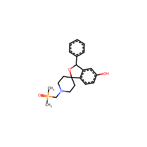 CP(C)(=O)CN1CCC2(CC1)OC(c1ccccc1)c1cc(O)ccc12